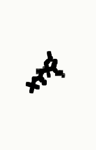 COC[C@@](C)(NC(=O)OC(C)(C)C)C(N)=O